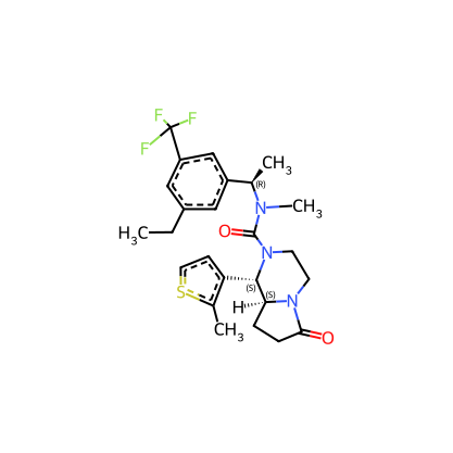 CCc1cc([C@@H](C)N(C)C(=O)N2CCN3C(=O)CC[C@H]3[C@@H]2c2ccsc2C)cc(C(F)(F)F)c1